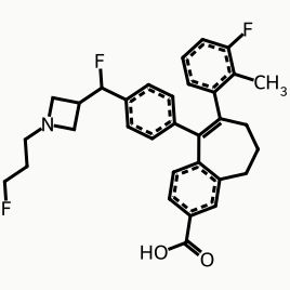 Cc1c(F)cccc1C1=C(c2ccc(C(F)C3CN(CCCF)C3)cc2)c2ccc(C(=O)O)cc2CCC1